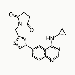 O=C1CCC(=O)N1Cc1cc(-c2ccc3ncnc(NC4CC4)c3c2)cs1